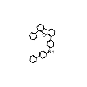 c1ccc(-c2ccc(Nc3ccc(-c4cccc5c4oc4c(-c6ccccc6)cccc45)cc3)cc2)cc1